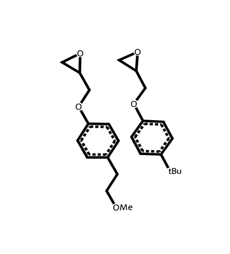 CC(C)(C)c1ccc(OCC2CO2)cc1.COCCc1ccc(OCC2CO2)cc1